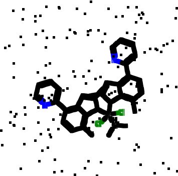 CC1=Cc2c(-c3ccccn3)ccc(C)c2[CH]1[Zr]([Cl])([Cl])([CH]1C(C)=Cc2c(-c3ccccn3)ccc(C)c21)[SiH](C)C